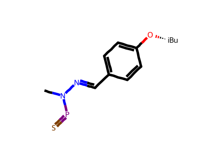 CC[C@@H](C)Oc1ccc(/C=N/N(C)P=S)cc1